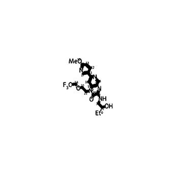 CC[C@@H](O)CNc1nc2cnc(-c3ccc(OC)nc3)cc2n(CCOCC(F)(F)F)c1=O